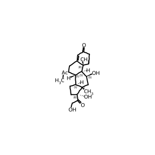 CC(C)=O.C[C@]12CCC(=O)C=C1CC[C@@H]1[C@@H]2[C@@H](O)C[C@@]2(C)[C@H]1CC[C@]2(O)C(=O)CO